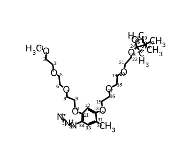 COCCOCCOCCOc1cc(OCCOCCOCCOC(C)(C)C(C)(C)C)c(C)cc1N=[N+]=[N-]